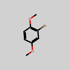 COc1[c]cc(OC)c(Br)c1